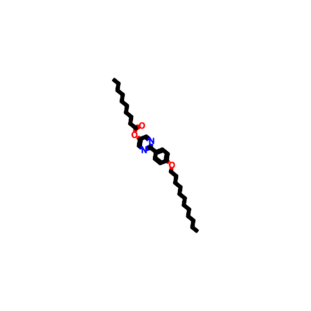 CCCCCCCCCCCCOc1ccc(-c2ncc(OC(=O)CCCCCCCCC)cn2)cc1